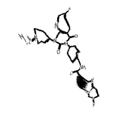 CN1CCC(n2c(=O)n(C3CCC(NC(=O)C4=C[N+]5CN(F)C=CC5=N4)CC3)c(=O)c3cc(F)cnc32)CC1